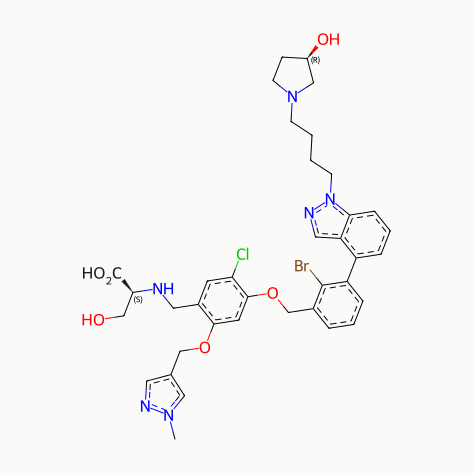 Cn1cc(COc2cc(OCc3cccc(-c4cccc5c4cnn5CCCCN4CC[C@@H](O)C4)c3Br)c(Cl)cc2CN[C@@H](CO)C(=O)O)cn1